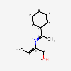 C/C=C(CO)\N=C(/C)C1CCCCC1